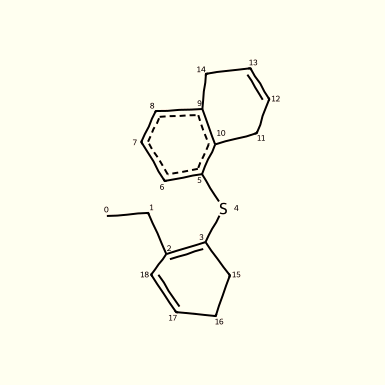 CCC1=C(Sc2cccc3c2CC=CC3)CCC=C1